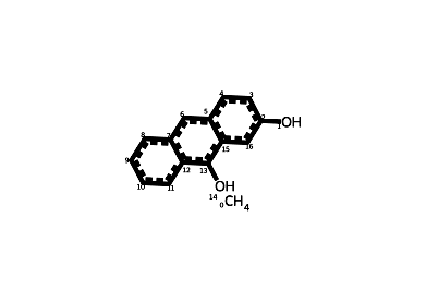 C.Oc1ccc2cc3ccccc3c(O)c2c1